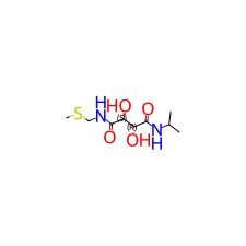 CSCNC(=O)[C@@H](O)[C@@H](O)C(=O)NC(C)C